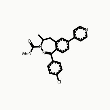 CNC(=O)N1N=C(c2ccc(Cl)cc2)c2ccc(-c3ccncc3)cc2CC1C